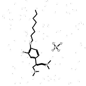 CCCCCCCCOc1ccc(C(=C=[N+](C)C)CN(C)C)cc1F.[O-][Cl+3]([O-])([O-])[O-]